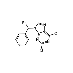 CCC(c1ccncc1)n1cnc2c(Cl)nc(Cl)nc21